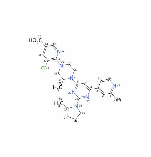 CC(C)c1cc(-c2cc(N3CCN(c4ncc(C(=O)O)cc4Cl)CC3C)nc(N3CCCC3C)n2)ccn1